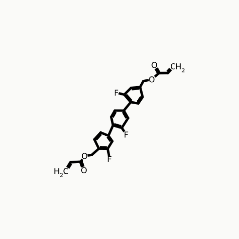 C=CC(=O)OCc1ccc(-c2ccc(-c3ccc(COC(=O)C=C)c(F)c3)c(F)c2)c(F)c1